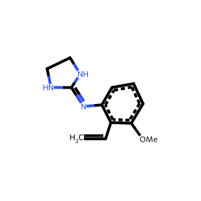 C=Cc1c(N=C2NCCN2)cccc1OC